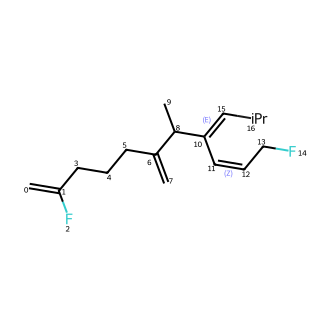 C=C(F)CCCC(=C)C(C)C(/C=C\CF)=C/C(C)C